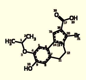 CC(C)Oc1cc2c(cc1O)CCn1c-2cc(C(=O)O)c1Br